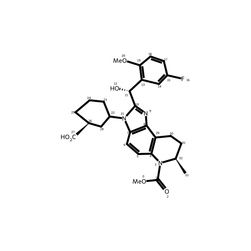 COC(=O)N1c2ccc3c(nc([C@H](O)c4cc(F)ccc4OC)n3C3CCC[C@H](C(=O)O)C3)c2CC[C@H]1C